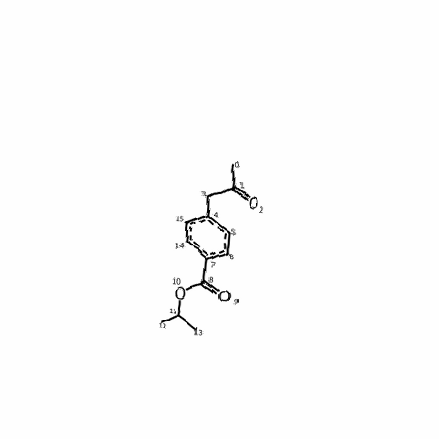 CC(=O)Cc1ccc(C(=O)OC(C)C)cc1